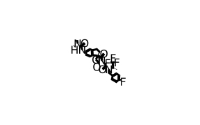 C[C@H](N(Cc1ccc(F)cc1)C(=O)CN1C(=O)O[C@@]2(CCc3cc(NC(=O)N(C)C)ccc32)C1=O)C(F)(F)F